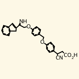 N#CC(CC(=O)O)c1ccc(OCc2ccc(OCC(=N)C3=Cc4ccccc4C3)cc2)cc1